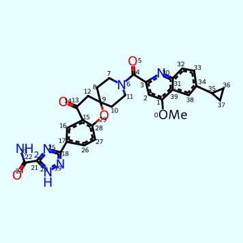 COc1cc(C(=O)N2CCC3(CC2)CC(=O)c2cc(-c4n[nH]c(C(N)=O)n4)ccc2O3)nc2ccc(C3CC3)cc12